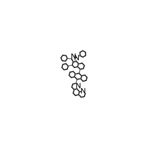 c1ccc(-c2cc3c(-c4c5ccccc5c(-c5ccc6ccc7cccnc7c6n5)c5ccccc45)cccc3c3c2c(-c2ccccc2)nn3-c2ccccc2)cc1